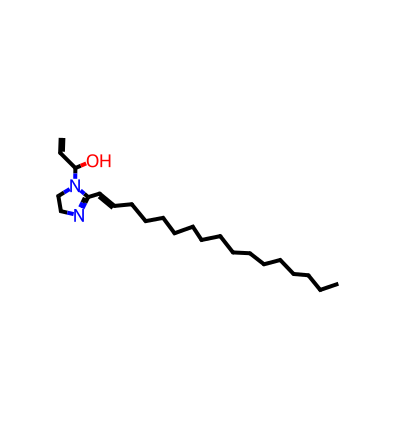 C=CC(O)N1CCN=C1C=CCCCCCCCCCCCCCCC